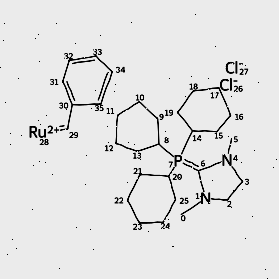 CN1CCN(C)C1=P(C1CCCCC1)(C1CCCCC1)C1CCCCC1.[Cl-].[Cl-].[Ru+2]=[CH]c1ccccc1